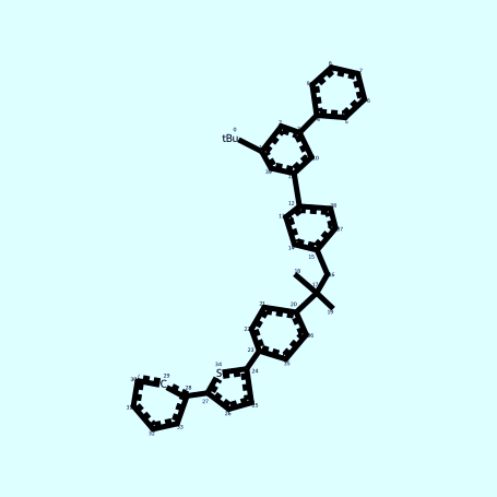 CC(C)(C)c1cc(-c2ccccc2)cc(-c2ccc(CC(C)(C)c3ccc(-c4ccc(-c5ccccc5)s4)cc3)cc2)c1